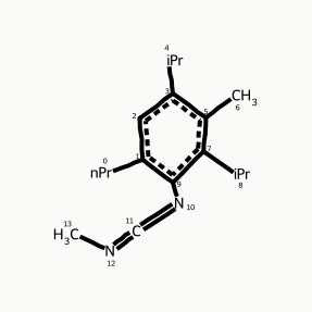 CCCc1cc(C(C)C)c(C)c(C(C)C)c1N=C=NC